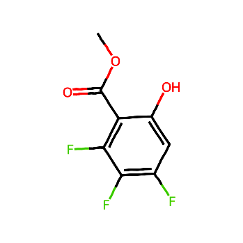 COC(=O)c1c(O)cc(F)c(F)c1F